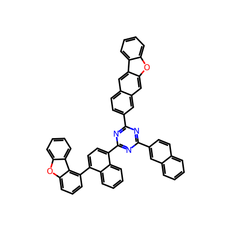 c1ccc2cc(-c3nc(-c4ccc5cc6c(cc5c4)oc4ccccc46)nc(-c4ccc(-c5cccc6oc7ccccc7c56)c5ccccc45)n3)ccc2c1